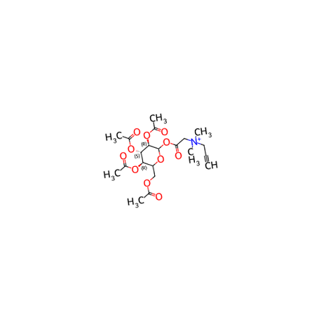 C#CC[N+](C)(C)CC(=O)OC1OC(COC(C)=O)[C@@H](OC(C)=O)[C@H](OC(C)=O)[C@H]1OC(C)=O